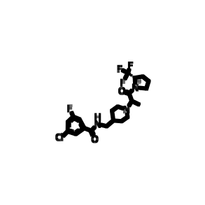 CC(C(=O)N1CCC[C@H]1C(F)(F)F)N1CCC(CNC(=O)c2cc(F)cc(Cl)c2)CC1